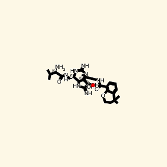 CC(C)[C@H](N)C(=O)NC[C@@H]1NC(=N)N2CC(NC(=O)c3cccc4c3OCCC4(C)C)[C@](C)(O)C23C1NC(=N)N3O